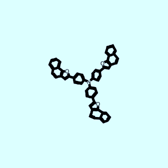 c1ccc2c(c1)ccc1cc(-c3ccc(N(c4ccc(-c5cc6ccc7ccccc7c6o5)cc4)c4ccc(-c5cc6ccc7ccccc7c6o5)cc4)cc3)oc12